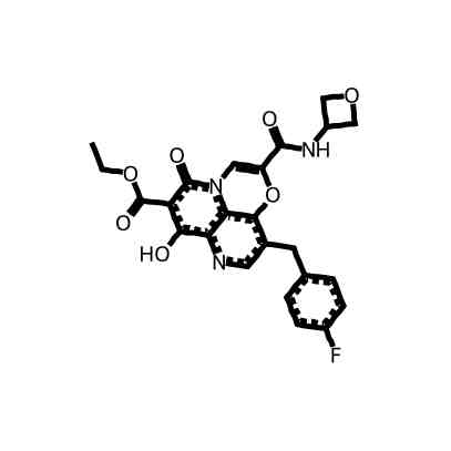 CCOC(=O)c1c(O)c2ncc(Cc3ccc(F)cc3)c3c2n(c1=O)C=C(C(=O)NC1COC1)O3